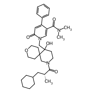 C[C@H](CC1CCCCC1)C(=O)N1CCC(O)(Cn2cc(C(=O)N(C)C)c(-c3ccccc3)cc2=O)C2(CCOCC2)C1